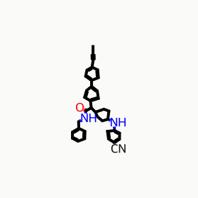 CC#Cc1ccc(-c2ccc(C(C(=O)NCc3ccccc3)C3CCC(Nc4ccc(C#N)cc4)CC3)cc2)cc1